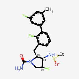 CC[S+]([O-])N[C@H]1[C@@H](F)CN(C(N)=O)[C@H]1Cc1cccc(-c2cc(C)cc(F)c2)c1F